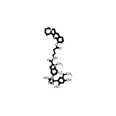 CC(C)c1cc(-c2nnc(O)n2-c2ccc3c(c2)cc(C(=O)NCCCC(=O)Oc2cccc4cc5cn6ccccc6c5nc24)n3C)c(O)cc1O